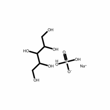 O=P([O-])(O)O.OCC(O)C(O)C(O)CO.[Na+]